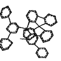 Cc1cc(-c2ccccc2)ccc1N(c1cc(-c2ccccc2)cc(-c2ccccc2)c1)c1cccc2c1C1(c3ccccc3-c3ccccc31)c1ccccc1-2